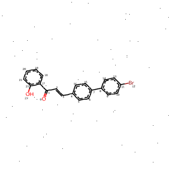 O=C(/C=C/c1ccc(-c2ccc(Br)cc2)cc1)c1ccccc1O